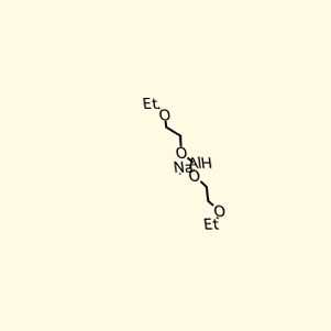 CCOCC[O][AlH][O]CCOCC.[Na]